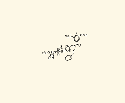 COc1cc(C(=O)N(CCCc2ccccc2)Cc2nc(C(=O)NS(=O)(=O)NNC(=O)OC(C)(C)C)cs2)cc(OC)c1C